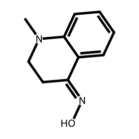 CN1CC/C(=N\O)c2ccccc21